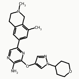 Cc1cc(-c2cnc(N)c(Oc3cnn(C4CCOCC4)c3)n2)cc2c1CN(C)CC2